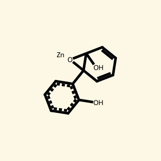 Oc1ccccc1C12C=CC=CC1(O)O2.[Zn]